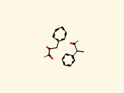 CC(C(=O)C(=O)O)c1ccccc1.COC(=O)C(=O)Cc1ccccc1